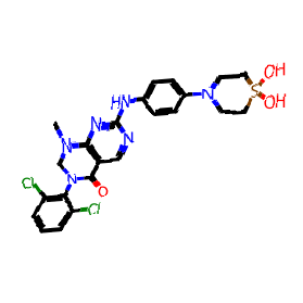 CN1CN(c2c(Cl)cccc2Cl)C(=O)c2cnc(Nc3ccc(N4CCS(O)(O)CC4)cc3)nc21